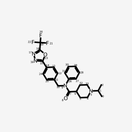 CC(C)N1CCC(C(=O)N(Cc2ccc(-c3nnc(C(F)(F)F)o3)cc2)c2ccccc2)CC1